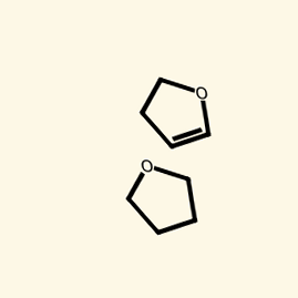 C1=COCC1.C1CCOC1